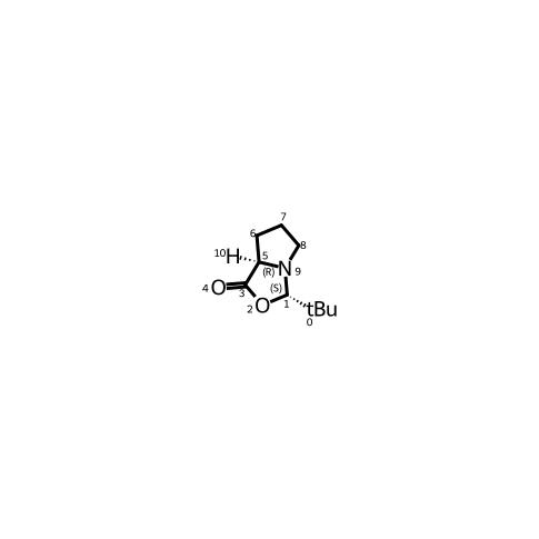 CC(C)(C)[C@@H]1OC(=O)[C@H]2CCCN21